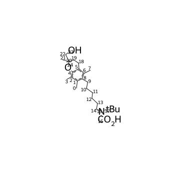 Cc1c(C)c2c(c(C)c1CCCCCCN(C(=O)O)C(C)(C)C)CCC(C)(CO)O2